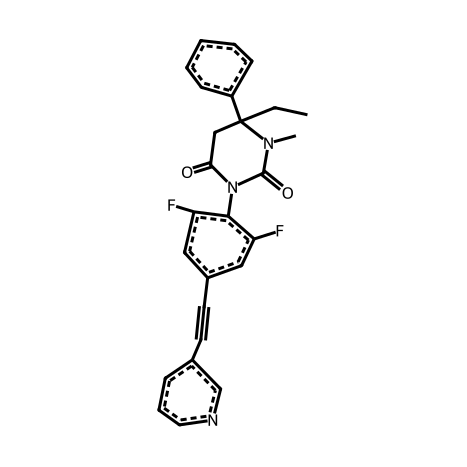 CCC1(c2ccccc2)CC(=O)N(c2c(F)cc(C#Cc3cccnc3)cc2F)C(=O)N1C